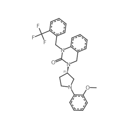 COc1ccccc1N1CC[C@@H](N2Cc3ccccc3N(Cc3ccccc3C(F)(F)F)C2=O)C1